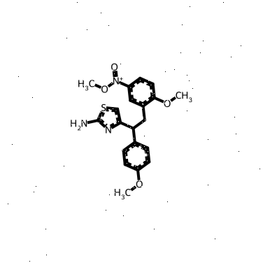 COc1ccc(C(Cc2cc([N+](=O)OC)ccc2OC)c2csc(N)n2)cc1